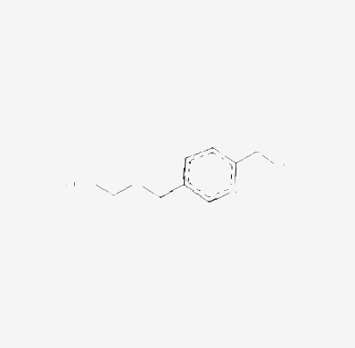 CCOC(=O)COCc1ccc(CO)nc1